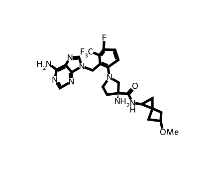 COC1CC2(C1)CC2NC(=O)[C@@]1(N)CCN(c2ccc(F)c(C(F)(F)F)c2Cn2cnc3c(N)ncnc32)C1